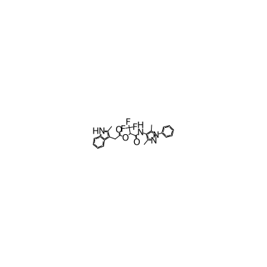 Cc1nn(-c2ccccc2)c(C)c1NC(=O)C(OC(=O)Cc1c(C)[nH]c2ccccc12)C(F)(F)F